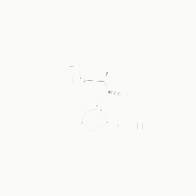 CC(C)[C@H](NOC(C)(C)C)C(=O)N1CCC[C@H]1C(=O)O